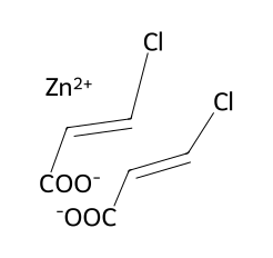 O=C([O-])/C=C/Cl.O=C([O-])/C=C/Cl.[Zn+2]